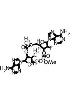 COP1(=O)OC[C@H]2OC(n3cnc4c(N)ncnc43)C(OP(C)(=O)OC[C@H]3OC(n4cnc5c(N)ncnc54)C(F)C3O1)C2C